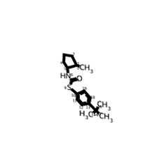 CC1CCCC1NC(=O)Sc1ccc(C(C)(C)C)cc1